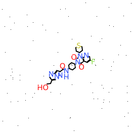 O=C(N[C@H]1CC[C@@H](n2c(=O)c3cc(F)cnc3n(C3CCSCC3)c2=O)CC1)c1cc2ncc(CCO)cn2n1